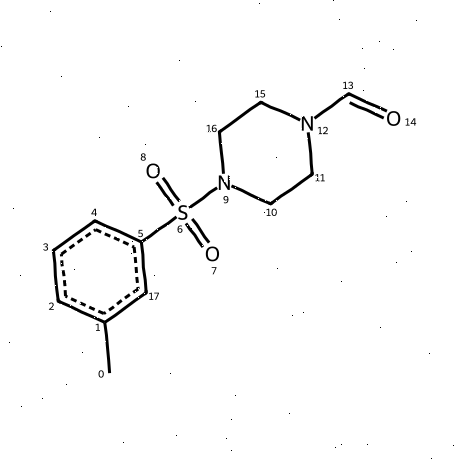 Cc1cccc(S(=O)(=O)N2CCN(C=O)CC2)c1